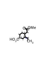 C/C=C1\CN(C(=O)O)CCC1CC(=O)OC